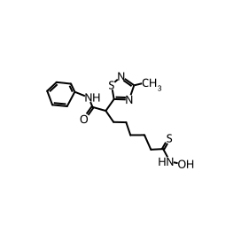 Cc1nsc(C(CCCCCC(=S)NO)C(=O)Nc2ccccc2)n1